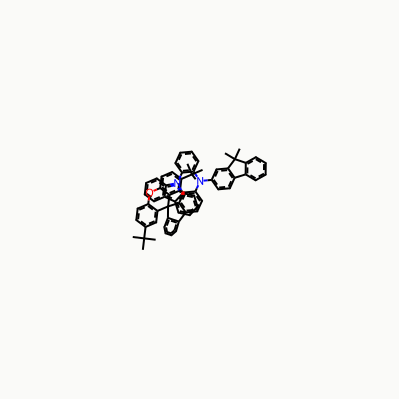 CC(C)(C)c1ccc2c(c1)C1(c3cc(C(C)(C)C)ccc3O2)c2ccccc2-c2ccc(N(c3ccc4c(c3)C(C)(C)c3ccccc3-4)c3ccccc3-n3c4ccccc4c4ccccc43)cc21